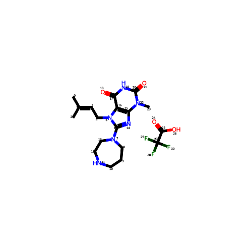 CC(C)=CCn1c(N2CCCNCC2)nc2c1c(=O)[nH]c(=O)n2C.O=C(O)C(F)(F)F